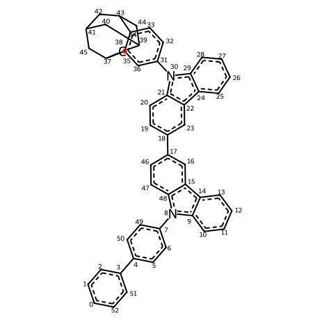 c1ccc(-c2ccc(-n3c4ccccc4c4cc(-c5ccc6c(c5)c5ccccc5n6-c5ccc6c(c5)C5CC7CC(CC6C7)C5)ccc43)cc2)cc1